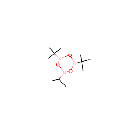 CC(C)B1OB(C(C)(C)C)OB(C(C)(C)C)O1